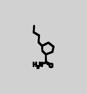 CCCCC1CCCC(C(N)=O)C1